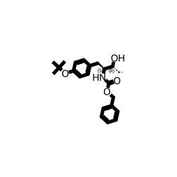 [CH2][C@@H](O)[C@H](Cc1ccc(OC(C)(C)C)cc1)NC(=O)OCc1ccccc1